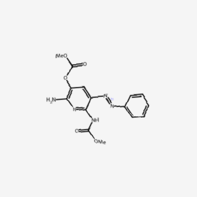 COC(=O)Nc1nc(N)c(OC(=O)OC)cc1/N=N/c1ccccc1